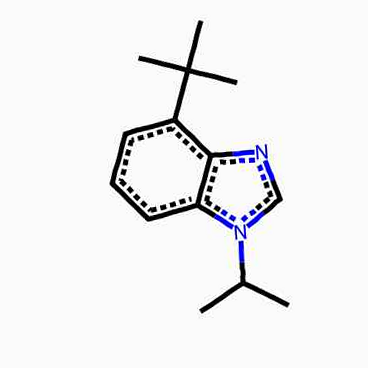 CC(C)n1cnc2c(C(C)(C)C)cccc21